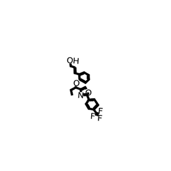 CCC(Oc1ccccc1C=CCO)c1coc(-c2ccc(C(F)(F)F)cc2)n1